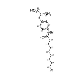 NC(Cc1ccc(NC(=O)CCCCCCCCI)cc1)C(=O)O